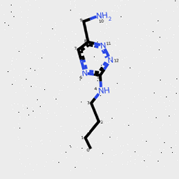 CCCCNc1ncc(CN)nn1